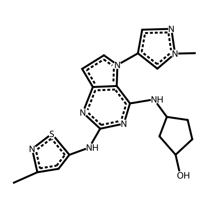 Cc1cc(Nc2nc(NC3CCC(O)C3)c3c(ccn3-c3cnn(C)c3)n2)sn1